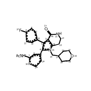 CC(=O)Nc1cc(-c2c(-c3ccc(F)cc3)c3c(n2CC2CCOCC2)CCNC3=O)ccn1